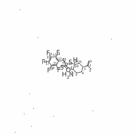 C=C(C)[C@H]1CC[C@@]2(N)O[P@@](=S)(Sc3c(F)c(F)c(F)c(F)c3F)S[C@@H]2C1